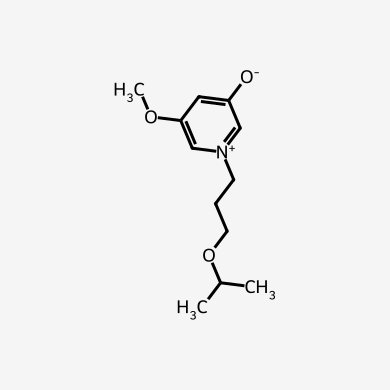 COc1cc([O-])c[n+](CCCOC(C)C)c1